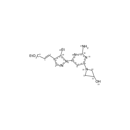 CCOC(=O)/C=C/c1cnn(-c2cc(N3CC(O)C3)nc(N)n2)c1CC